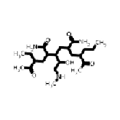 CCCC(CC(CC(C(O)CNC)C(CC(CC)C(C)=O)C(N)=O)C(N)=O)C(C)=O